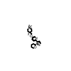 CC(=O)N1CCC(F)(COc2ccc(-c3ccnn3C3CCCCO3)nc2)CC1